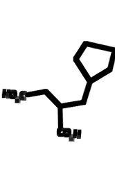 O=C(O)CC(CC1CCCC1)C(=O)O